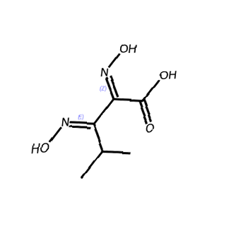 CC(C)C(=N\O)/C(=N/O)C(=O)O